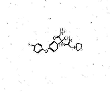 CC(NC(=O)CN1CCSC1)(C(N)=O)c1ccc(Oc2ccc(F)cc2)cc1